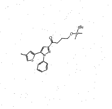 Cc1csc(-c2cc(C(=O)CCCO[Si](C)(C)C(C)(C)C)nn2-c2ccccc2)c1